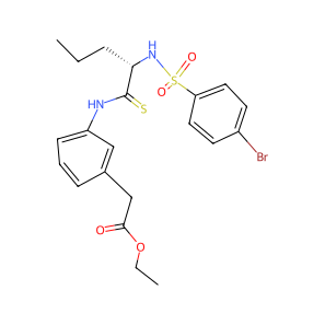 CCC[C@H](NS(=O)(=O)c1ccc(Br)cc1)C(=S)Nc1cccc(CC(=O)OCC)c1